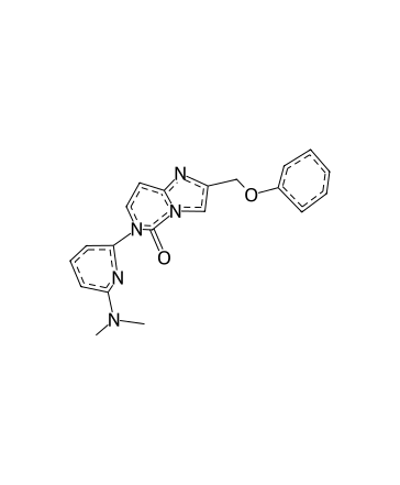 CN(C)c1cccc(-n2ccc3nc(COc4ccccc4)cn3c2=O)n1